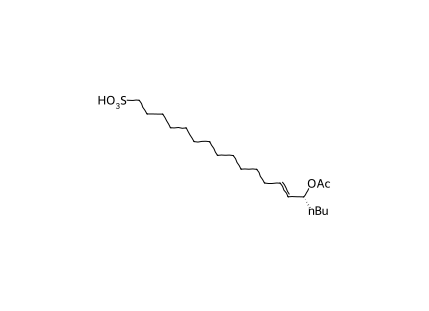 CCCC[C@H](C=CCCCCCCCCCCCCS(=O)(=O)O)OC(C)=O